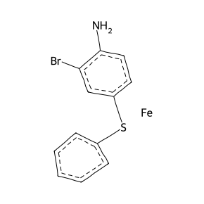 Nc1ccc(Sc2ccccc2)cc1Br.[Fe]